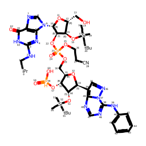 CC(C)CNc1nc2c(ncn2[C@@H]2O[C@H](CO)[C@@H](O[Si](C)(C)C(C)(C)C)[C@H]2OP(=O)(OCCC#N)OC[C@H]2O[C@@H](c3cnn4c(Nc5ccccc5)ncnc34)[C@H](O[Si](C)(C)C(C)(C)C)[C@@H]2O[PH](=O)O)c(=O)[nH]1